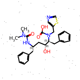 CN(C)C(=O)N[C@@H](Cc1ccccc1)C[C@@H](O)[C@H](Cc1ccccc1)N(Cc1cncs1)C(=O)O